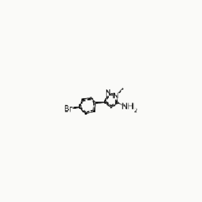 Cn1nc(-c2ccc(Br)cc2)cc1N